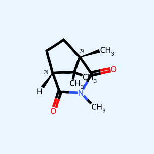 CN1C(=O)[C@@H]2CC[C@](C)(C1=O)C2(C)C